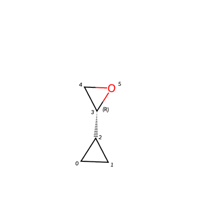 C1CC1[C@@H]1CO1